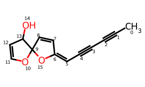 CC#CC#C/C=C1\C=CC2(OC=CC2O)O1